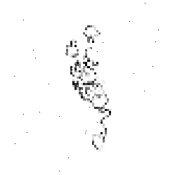 C[C@]12CC[C@H]3[C@@H](CC=C4C[C@@H](OCCN5CCCC5)CC[C@@]43C)[C@@]1(O)CC[C@@]2(OCCN1CCCC1)c1ccoc1